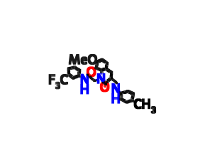 COc1ccc2cc(CNc3ccc(C)cc3)c(=O)n(CC(=O)Nc3cccc(C(F)(F)F)c3)c2c1